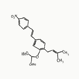 COC(OC)Oc1cc(C=Cc2ccc([N+](=O)[O-])cc2)ccc1CC=C(C)C